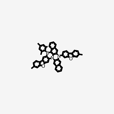 Cc1cc(C)c(B2c3cc4c(cc3N3c5cc6ccccc6cc5N(c5ccc6c(c5)oc5cc(C)ccc56)c5cc6ccccc6c2c53)oc2cc(C)ccc24)c(C)c1